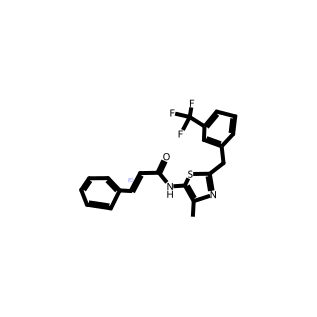 Cc1nc(Cc2cccc(C(F)(F)F)c2)sc1NC(=O)/C=C/c1ccccc1